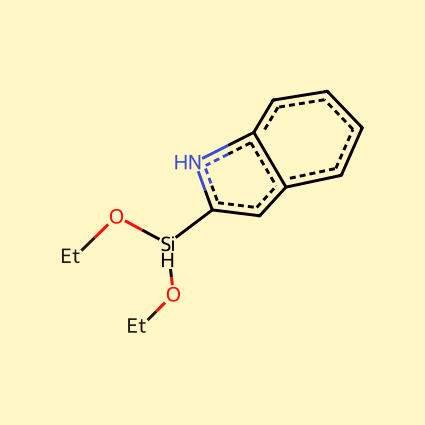 CCO[SiH](OCC)c1cc2ccccc2[nH]1